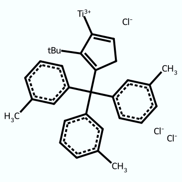 Cc1cccc(C(C2=C(C(C)(C)C)[C]([Ti+3])=CC2)(c2cccc(C)c2)c2cccc(C)c2)c1.[Cl-].[Cl-].[Cl-]